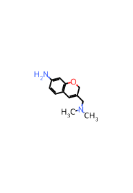 CN(C)CC1=Cc2ccc(N)cc2OC1